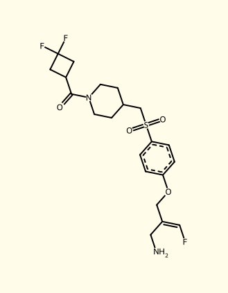 NCC(=CF)COc1ccc(S(=O)(=O)CC2CCN(C(=O)C3CC(F)(F)C3)CC2)cc1